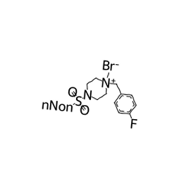 CCCCCCCCCS(=O)(=O)N1CC[N+](C)(Cc2ccc(F)cc2)CC1.[Br-]